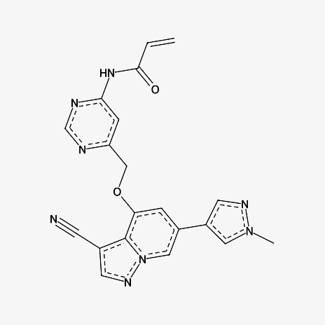 C=CC(=O)Nc1cc(COc2cc(-c3cnn(C)c3)cn3ncc(C#N)c23)ncn1